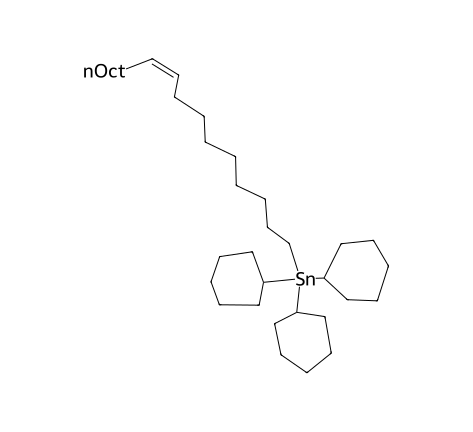 CCCCCCCC/C=C\CCCCCCC[CH2][Sn]([CH]1CCCCC1)([CH]1CCCCC1)[CH]1CCCCC1